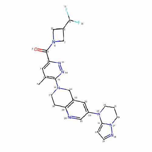 Cc1cc(C(=O)N2CC(C(F)F)C2)nnc1N1CCc2ncc(N3CCCn4nccc43)cc2C1